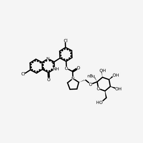 CCCC[C@@]1(OC[C@@H]2CCCN2C(=O)Oc2ccc(Cl)cc2-c2nc3ccc(Cl)cc3c(=O)[nH]2)O[C@H](CO)[C@H](O)[C@H](O)[C@H]1O